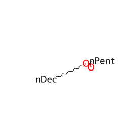 CCCCCCCCCCCCCCCCCCCCOC(=O)CCCCC